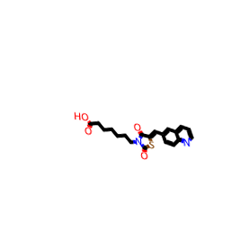 O=C(O)CCCCCCN1C(=O)S/C(=C\c2ccc3ncccc3c2)C1=O